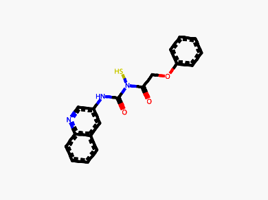 O=C(COc1ccccc1)N(S)C(=O)Nc1cnc2ccccc2c1